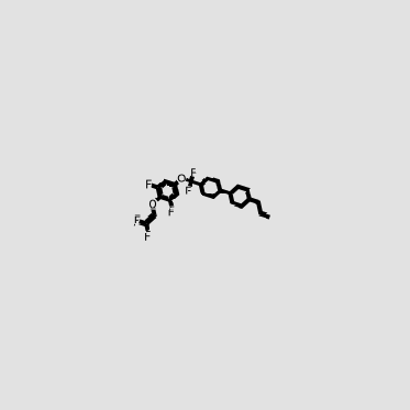 CCCC1CCC(C2CCC(C(F)(F)Oc3cc(F)c(OC=C(F)F)c(F)c3)CC2)CC1